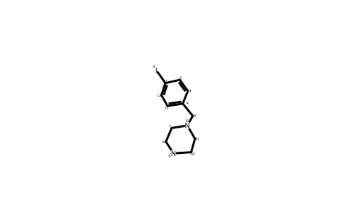 Ic1ccc(CN2CC[N]CC2)cc1